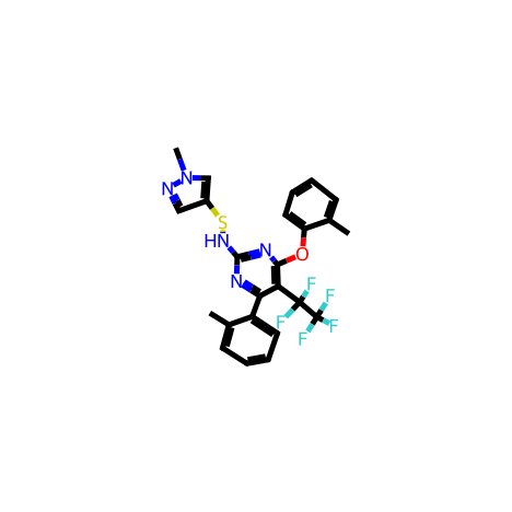 Cc1ccccc1Oc1nc(NSc2cnn(C)c2)nc(-c2ccccc2C)c1C(F)(F)C(F)(F)F